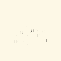 O=N[C@](Cc1ccccc1)(CP(=O)(O)O)C(=O)O